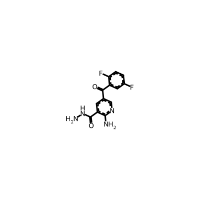 NNC(=O)c1cc(C(=O)c2cc(F)ccc2F)cnc1N